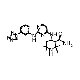 CC1(C)CC(Nc2ccnc(Nc3cccc(-n4cnnn4)c3)n2)C(C(N)=O)C(C)(C)N1